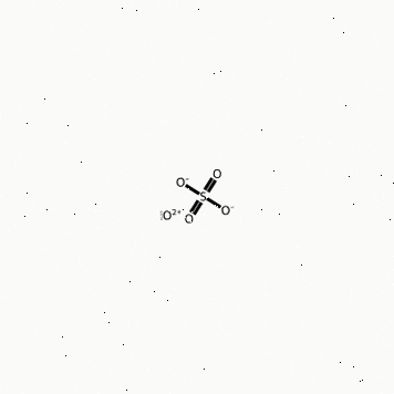 O=S(=O)([O-])[O-].[O+2]